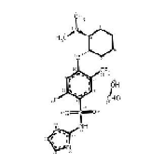 CN(C)[C@H]1CCCC[C@@H]1Oc1cc(F)c(S(=O)(=O)Nc2nccs2)cc1C(F)(F)F.O=CO